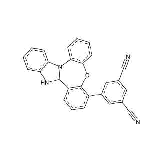 N#Cc1cc(C#N)cc(-c2cccc3c2Oc2ccccc2N2c4ccccc4NC32)c1